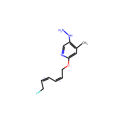 Cc1cc(OC/C=C\C=C/CF)ncc1NN